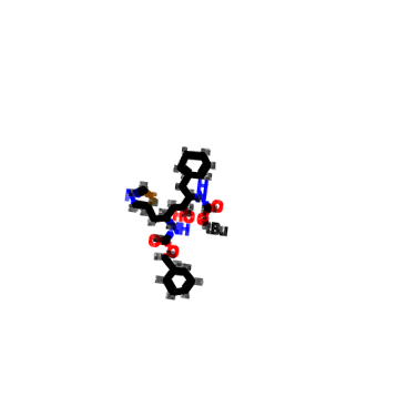 CC(C)(C)OC(=O)NC(Cc1ccccc1)C(O)CC(Cc1cncs1)NC(=O)OCc1ccccc1